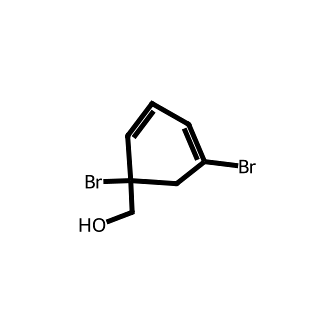 OCC1(Br)C=CC=C(Br)C1